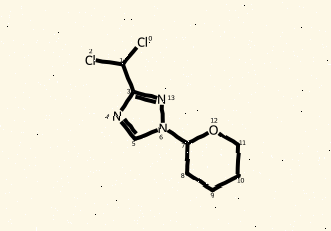 ClC(Cl)c1ncn(C2CCCCO2)n1